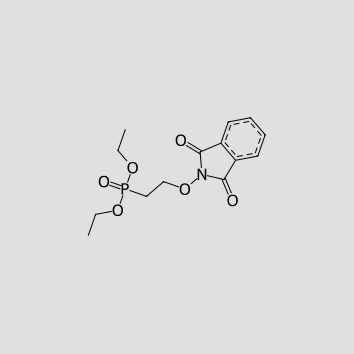 CCOP(=O)(CCON1C(=O)c2ccccc2C1=O)OCC